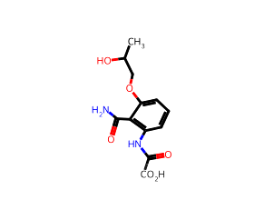 CC(O)COc1cccc(NC(=O)C(=O)O)c1C(N)=O